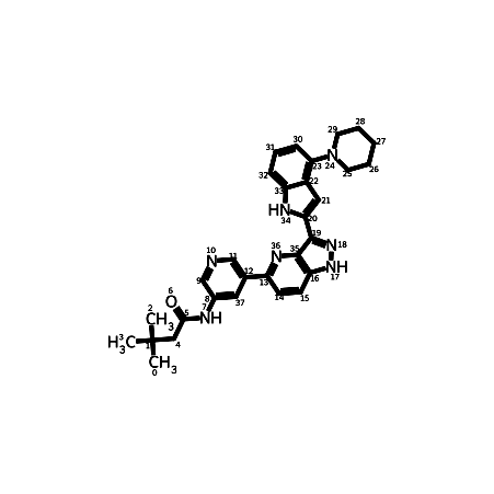 CC(C)(C)CC(=O)Nc1cncc(-c2ccc3[nH]nc(-c4cc5c(N6CCCCC6)cccc5[nH]4)c3n2)c1